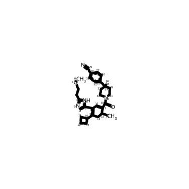 COCCc1ncc(C2=C(C3CCC3)CC(C)C(C(=O)N3CCC(F)(c4ccc(C#N)cc4)CC3)=C2)[nH]1